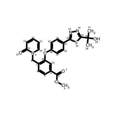 COC(=O)c1ccc(Cn2ccccc2=O)c(Oc2ccc(-c3nnc(C(C)(C)O)s3)cc2)c1